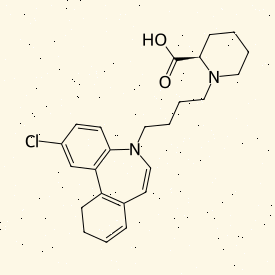 O=C(O)[C@H]1CCCCN1CCCCN1C=CC2=C(CCC=C2)c2cc(Cl)ccc21